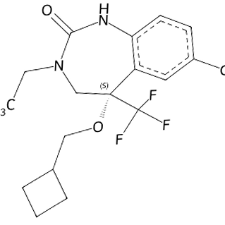 CCN1C[C@](OCC2CCC2)(C(F)(F)F)c2cc(Cl)ccc2NC1=O